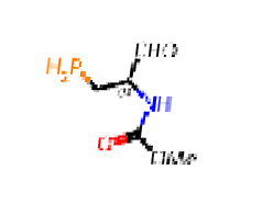 COC(=O)N[C@H](C=O)CP